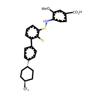 COc1cc(C(=O)O)ccc1NSc1cccc(-c2ccc([C@H]3CC[C@H](C(F)(F)F)CC3)cc2)c1F